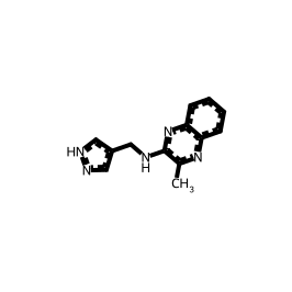 Cc1nc2ccccc2nc1NCc1cn[nH]c1